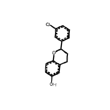 Oc1ccc2c(c1)CCC(c1cccc(Cl)c1)O2